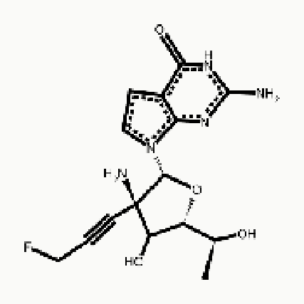 C[C@H](O)[C@H]1O[C@@H](n2ccc3c(=O)[nH]c(N)nc32)[C@@](N)(C#CCF)C1O